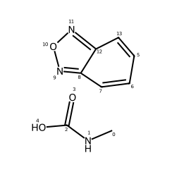 CNC(=O)O.c1ccc2nonc2c1